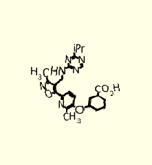 Cc1nc(-c2onc(C)c2CNc2ncnc(C(C)C)n2)ccc1OC1CCCC(C(=O)O)C1